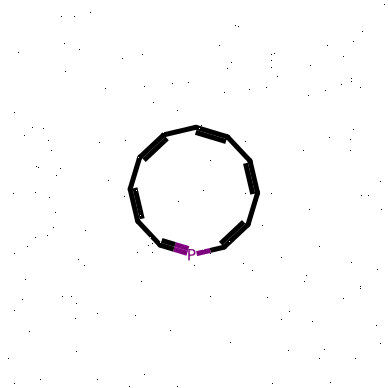 C1=CC=CC=CP=CC=CC=C1